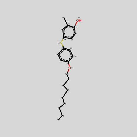 CCCCCCCCCOc1ccc(Sc2ccc(O)c(C)c2)cc1